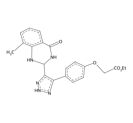 CCOC(=O)COc1ccc(-c2n[nH]nc2C2NC(=O)c3cccc(C)c3N2)cc1